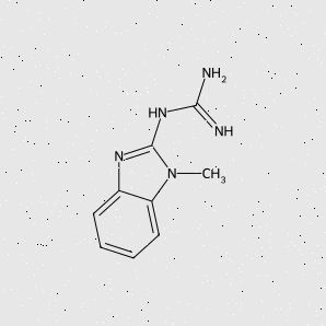 Cn1c(NC(=N)N)nc2ccccc21